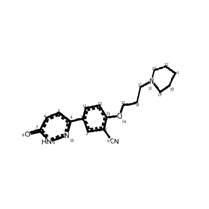 N#Cc1cc(-c2ccc(=O)[nH]n2)ccc1OCCCN1CCCCC1